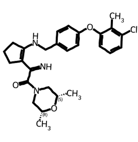 Cc1c(Cl)cccc1Oc1ccc(CNC2=C(C(=N)C(=O)N3C[C@@H](C)O[C@@H](C)C3)CCC2)cc1